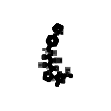 CNc1nc([C@H]2CCCN2C(=O)[C@H](O)[C@@H](O)C(=O)N[C@H](C)c2ccc(-n3cccn3)cc2)c(C)s1